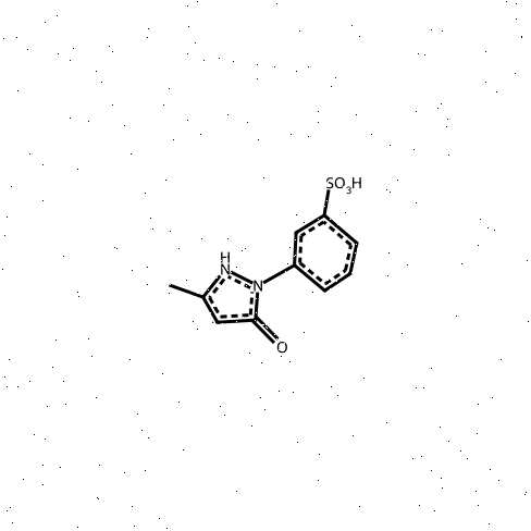 Cc1[c]c(=O)n(-c2cccc(S(=O)(=O)O)c2)[nH]1